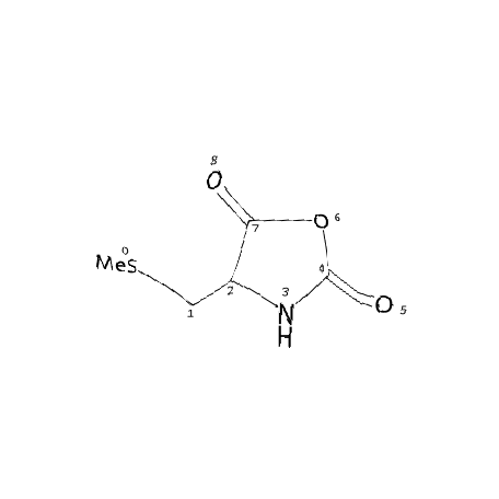 CSCC1NC(=O)OC1=O